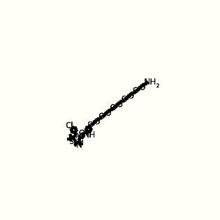 Cc1sc2c(c1C)C(c1ccc(Cl)cc1)=NC(CC(=O)Nc1ccc(OCCOCCOCCOCCOCCOCCOCCOCCOCCOCCN)cc1)c1nnc(C)n1-2